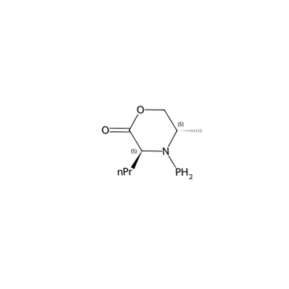 CCC[C@H]1C(=O)OC[C@H](C)N1P